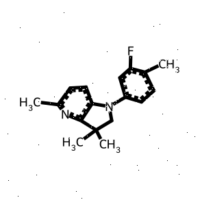 Cc1ccc2c(n1)C(C)(C)CN2c1ccc(C)c(F)c1